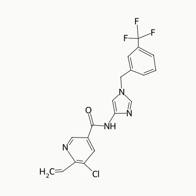 C=Cc1ncc(C(=O)Nc2cn(Cc3cccc(C(F)(F)F)c3)cn2)cc1Cl